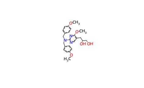 COc1ccc(CN(Cc2ccc(OC)cc2)c2ncc(CC(O)CO)c(OC)n2)cc1